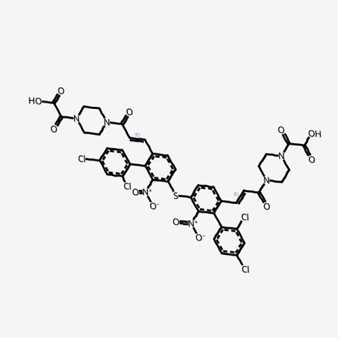 O=C(O)C(=O)N1CCN(C(=O)/C=C/c2ccc(Sc3ccc(/C=C/C(=O)N4CCN(C(=O)C(=O)O)CC4)c(-c4ccc(Cl)cc4Cl)c3[N+](=O)[O-])c([N+](=O)[O-])c2-c2ccc(Cl)cc2Cl)CC1